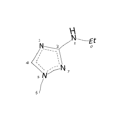 CCNc1ncn(C)n1